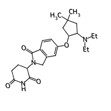 CCN(CC)C1CC(C)(C)CC1Oc1ccc2c(c1)CN(C1CCC(=O)NC1=O)C2=O